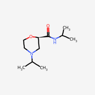 CC(C)NC(=O)[C@H]1CN(C(C)C)CCO1